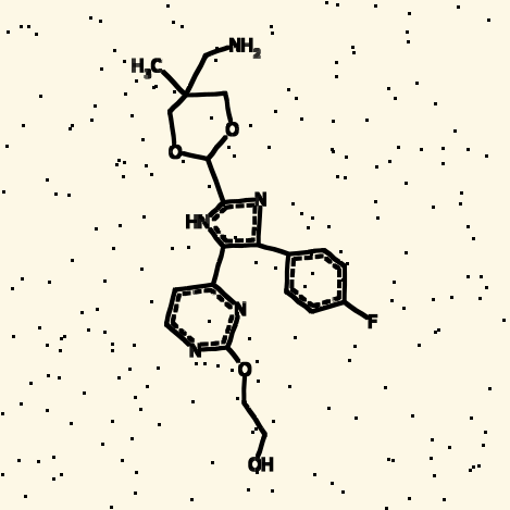 CC1(CN)COC(c2nc(-c3ccc(F)cc3)c(-c3ccnc(OCCO)n3)[nH]2)OC1